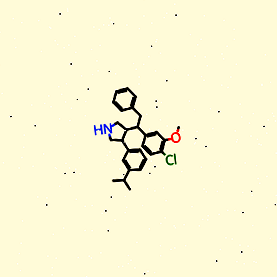 COc1cc(C(Cc2ccccc2)C2CNCC2c2cccc(C(C)C)c2)ccc1Cl